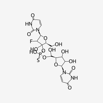 O=c1ccn([C@H]2O[C@@H](C(O)OP(O)(=S)OC3(O)C(F)[C@@H](n4ccc(=O)[nH]c4=O)O[C@H]3CO)C(O)C2O)c(=O)[nH]1